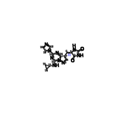 O=C1NC(=O)/C(=C\c2cnn3c(NC4CC4)nc(-n4ccnc4)nc23)N1